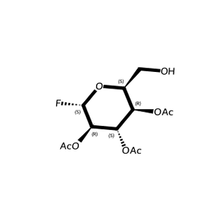 CC(=O)O[C@@H]1[C@@H](OC(C)=O)[C@H](F)O[C@@H](CO)[C@H]1OC(C)=O